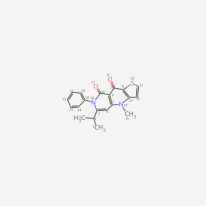 CC(C)c1cc2c(c(=O)c3sccc3n2C)c(=O)n1-c1ccccc1